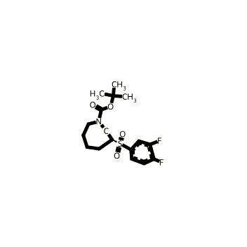 CC(C)(C)OC(=O)N1CCCC[C@@H](S(=O)(=O)c2ccc(F)c(F)c2)C1